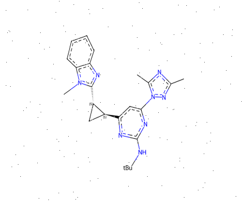 Cc1nc(C)n(-c2cc([C@H]3C[C@@H]3c3nc4ccccc4n3C)nc(NC(C)(C)C)n2)n1